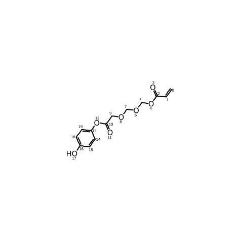 C=CC(=O)OCOCOCC(=O)Oc1ccc(O)cc1